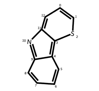 c1csc2c3ccccc3nc-2c1